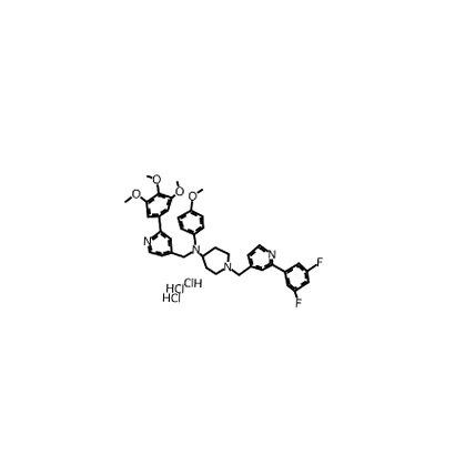 COc1ccc(N(Cc2ccnc(-c3cc(OC)c(OC)c(OC)c3)c2)C2CCN(Cc3ccnc(-c4cc(F)cc(F)c4)c3)CC2)cc1.Cl.Cl.Cl